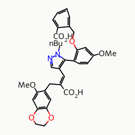 CCCCn1ncc(/C=C(\Cc2cc3c(cc2OC)OCCO3)C(=O)O)c1-c1ccc(OC)cc1OCc1ccccc1C(=O)O